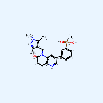 Cc1nn(C)c(C)c1CN1C(=O)CCc2ncc(-c3cccc(S(C)(=O)=O)c3)cc21